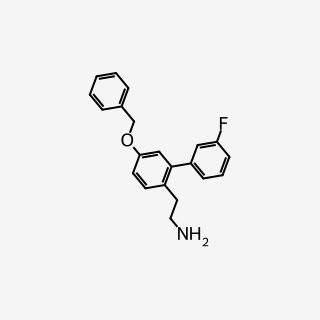 NCCc1ccc(OCc2ccccc2)cc1-c1cccc(F)c1